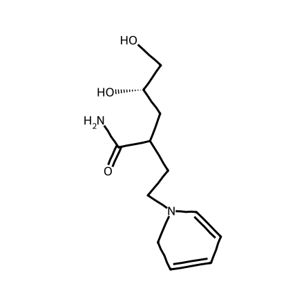 NC(=O)C(CCN1C=CC=CC1)C[C@H](O)CO